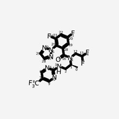 C[C@@H](CNc1ncc(C(F)(F)F)cn1)N(CC(F)F)C(=O)c1cc(F)cc(F)c1-n1nccn1